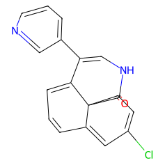 O=C1NC=C(c2cccnc2)C2=CC=CC3=CC(Cl)=CCC132